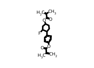 C=C(C)C(=O)Oc1ccc(C2CCC(OC(=O)C(=C)C)CC2F)cc1